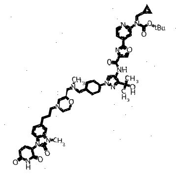 CN(CC1CCC(n2cc(NC(=O)c3coc(-c4ccnc(N(CC5CC5)C(=O)OC(C)(C)C)c4)n3)c(C(C)(C)O)n2)CC1)C[C@@H]1CN(CCCc2ccc3c(c2)n(C)c(=O)n3C2CCC(=O)NC2=O)CCO1